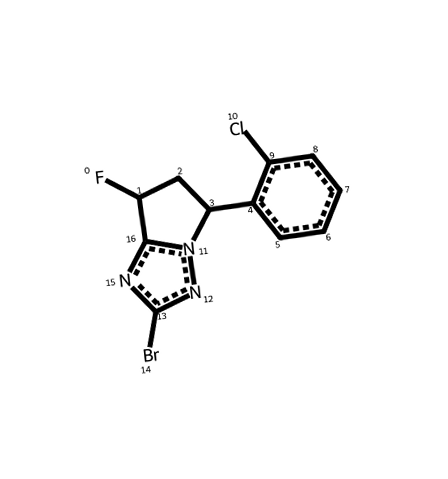 FC1CC(c2ccccc2Cl)n2nc(Br)nc21